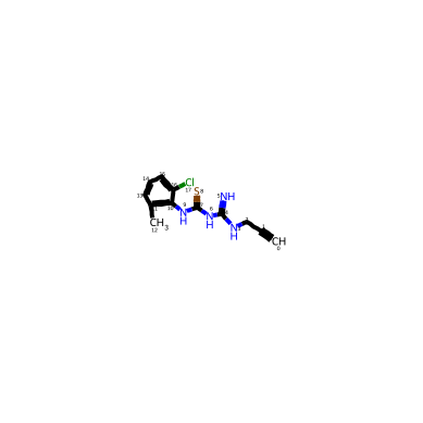 C#CCNC(=N)NC(=S)Nc1c(C)cccc1Cl